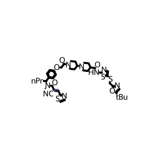 CCCC(c1ccc(OCC(=O)N2CCC(N3CCC(C(=O)Nc4ncc(SCc5ncc(C(C)(C)C)o5)s4)CC3)CC2)cc1)N(C)C(=O)/C(C#N)=C/c1nccs1